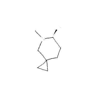 CC(C)[C@H]1CCC2(CC2)CN1C